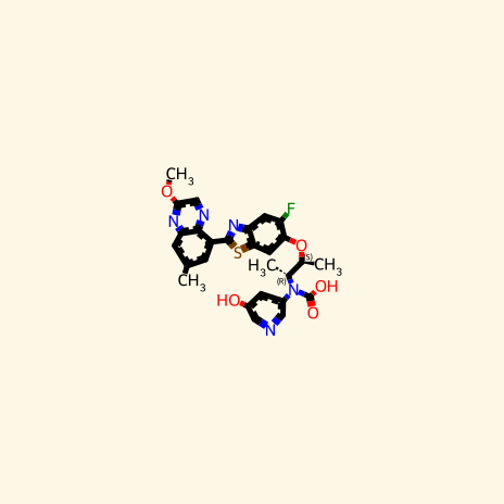 COc1cnc2c(-c3nc4cc(F)c(O[C@@H](C)[C@@H](C)N(C(=O)O)c5cncc(O)c5)cc4s3)cc(C)cc2n1